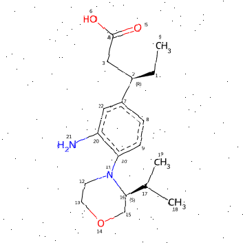 CC[C@H](CC(=O)O)c1ccc(N2CCOC[C@@H]2C(C)C)c(N)c1